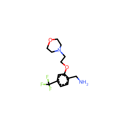 NCc1ccc(C(F)(F)F)cc1OCCN1CCOCC1